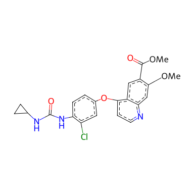 COC(=O)c1cc2c(Oc3ccc(NC(=O)NC4CC4)c(Cl)c3)ccnc2cc1OC